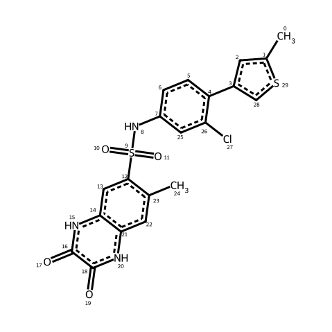 Cc1cc(-c2ccc(NS(=O)(=O)c3cc4[nH]c(=O)c(=O)[nH]c4cc3C)cc2Cl)cs1